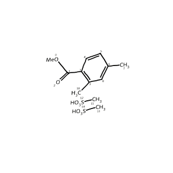 COC(=O)c1ccc(C)cc1C.CS(=O)(=O)O.CS(=O)(=O)O